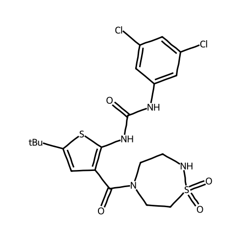 CC(C)(C)c1cc(C(=O)N2CCNS(=O)(=O)CC2)c(NC(=O)Nc2cc(Cl)cc(Cl)c2)s1